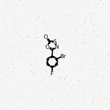 O=c1oc(-c2ccc(F)cc2Br)ns1